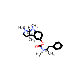 C[C@H](Cc1ccccc1)N(C)C(=O)Oc1ccc2c(c1)[C@]1(C)CCN(C)[C@@H]1N2C